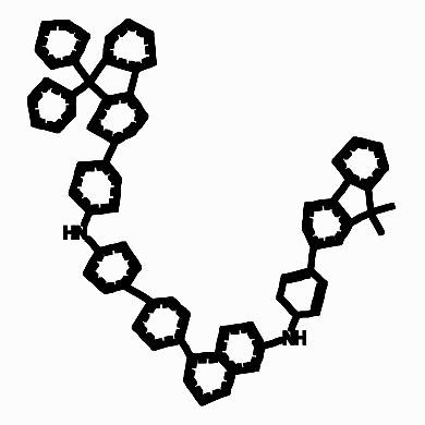 CC1(C)c2ccccc2-c2ccc(C3=CCC(Nc4ccc5c(-c6ccc(-c7ccc(Nc8ccc(-c9ccc%10c(c9)C(c9ccccc9)(c9ccccc9)c9ccccc9-%10)cc8)cc7)cc6)cccc5c4)C=C3)cc21